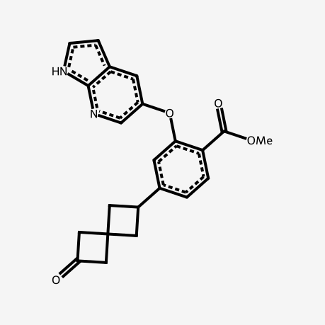 COC(=O)c1ccc(C2CC3(CC(=O)C3)C2)cc1Oc1cnc2[nH]ccc2c1